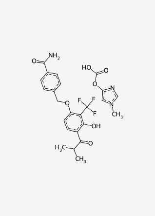 CC(C)C(=O)c1ccc(OCc2ccc(C(N)=O)cc2)c(C(F)(F)F)c1O.Cn1cnc(OC(=O)O)c1